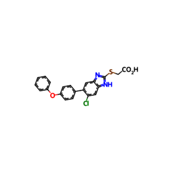 O=C(O)CSc1nc2cc(-c3ccc(Oc4ccccc4)cc3)c(Cl)cc2[nH]1